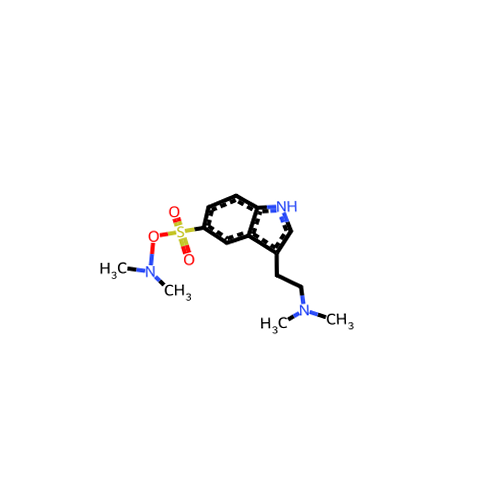 CN(C)CCc1c[nH]c2ccc(S(=O)(=O)ON(C)C)cc12